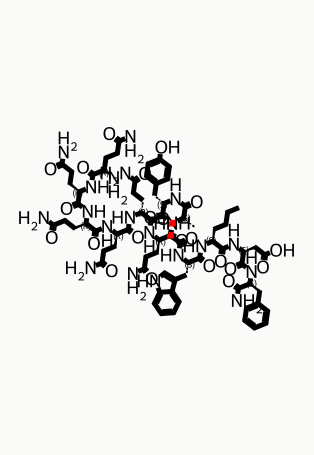 CCCC[C@H](NC(=O)[C@H](Cc1c[nH]c2ccccc12)NC(=O)CNC(=O)[C@H](Cc1ccc(O)cc1)NC(=O)[C@H](C)NC(=O)[C@@H](CCC(N)=O)NC(=O)[C@@H](CCC(N)=O)NC(=O)[C@@H](CCC(N)=O)NC(=O)[C@@H](CCC(N)=O)NC(=O)[C@@H](CCC(N)=O)NC(=O)[C@H](N)CCC(N)=O)C(=O)N[C@@H](CC(=O)O)C(=O)N[C@@H](Cc1ccccc1)C(N)=O